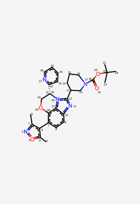 Cc1noc(C)c1-c1ccc2nc(C3CCCN(C(=O)OC(C)(C)C)C3)n3c2c1OC[C@@H]3c1ccccn1